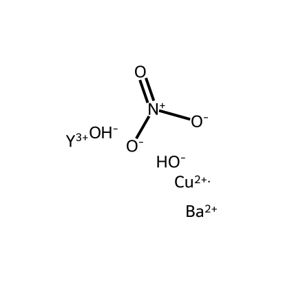 O=[N+]([O-])[O-].[Ba+2].[Cu+2].[OH-].[OH-].[Y+3]